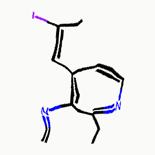 C=Nc1c(/C=C(\C)I)ccnc1C